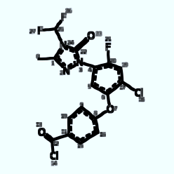 Cc1nn(-c2cc(Oc3ccc(C(=O)Cl)cc3)c(Cl)cc2F)c(=O)n1C(F)F